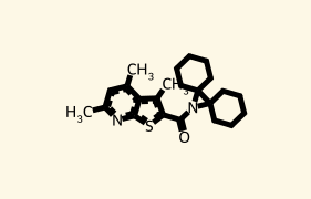 Cc1cc(C)c2c(C)c(C(=O)N3C4(CCCCC4)C34CCCCC4)sc2n1